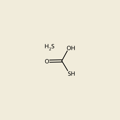 O=C(O)S.S